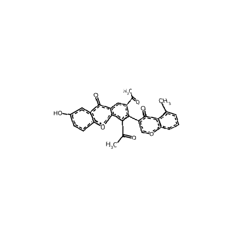 CC(=O)c1cc2c(=O)c3cc(O)ccc3oc2c(C(C)=O)c1-c1coc2cccc(C)c2c1=O